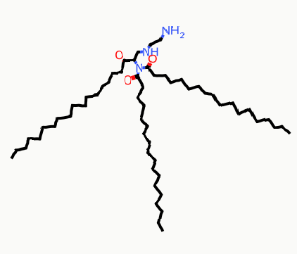 CCCCCCCCCCCCCCCCCC(=O)C(CNCCN)N(C(=O)CCCCCCCCCCCCCCCCC)C(=O)CCCCCCCCCCCCCCCCC